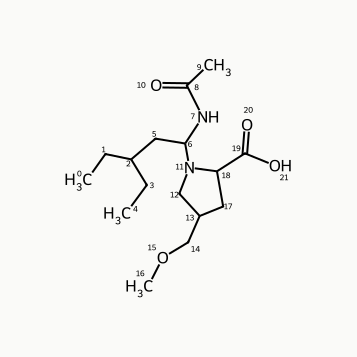 CCC(CC)CC(NC(C)=O)N1CC(COC)CC1C(=O)O